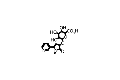 CN1C(=O)C(OC2OC(C(=O)O)C(O)C(O)C2O)CC1c1cccnc1